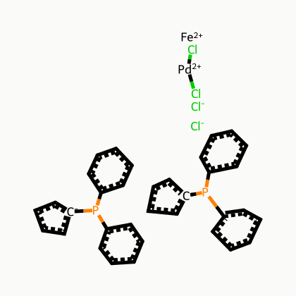 [Cl-].[Cl-].[Cl][Pd+2][Cl].[Fe+2].c1ccc(P(c2ccccc2)[c-]2cccc2)cc1.c1ccc(P(c2ccccc2)[c-]2cccc2)cc1